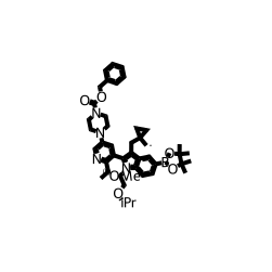 [CH2]C1(Cc2c(-c3cc(N4CCN(C(=O)OCc5ccccc5)CC4)cnc3[C@H](C)OC)n(CCOC(C)C)c3ccc(B4OC(C)(C)C(C)(C)O4)cc23)CC1